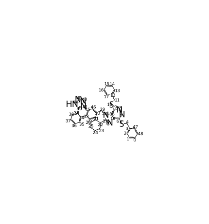 c1ccc(CSc2nnc(SCc3ccccc3)c3c2nc(C2CCCCC2)n3Cc2ccc(-c3ccccc3-c3nnn[nH]3)cc2)cc1